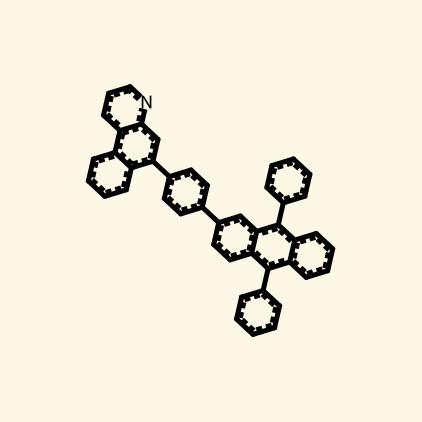 c1ccc(-c2c3ccccc3c(-c3ccccc3)c3cc(-c4ccc(-c5cc6ncccc6c6ccccc56)cc4)ccc23)cc1